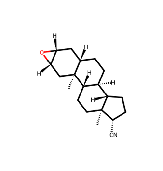 C[C@]12C[C@@H]3O[C@@H]3C[C@@H]1CC[C@@H]1[C@@H]2CC[C@]2(C)[C@@H](C#N)CC[C@@H]12